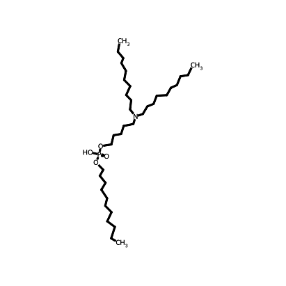 CCCCCCCCCCCOP(=O)(O)OCCCCCN(CCCCCCCCCC)CCCCCCCCCC